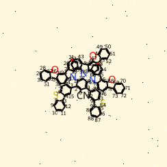 N#Cc1c(-c2ccc3sc4ccccc4c3c2)c(-n2c3ccccc3c3c4oc5ccccc5c4ccc32)c(-n2c3ccccc3c3c4oc5ccccc5c4ccc32)c(-n2c3ccccc3c3c4oc5ccccc5c4ccc32)c1-c1ccc2sc3ccccc3c2c1